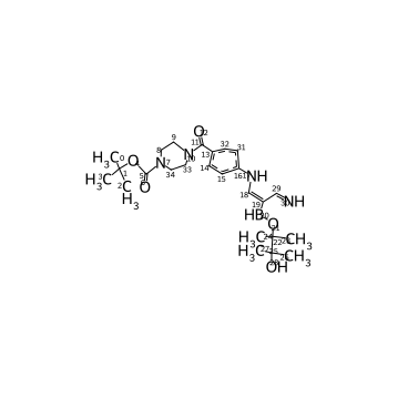 CC(C)(C)OC(=O)N1CCN(C(=O)c2ccc(N/C=C(/BOC(C)(C)C(C)(C)O)C=N)cc2)CC1